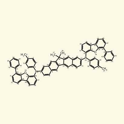 Cc1ccc(N(c2ccc3cc4c(cc3c2)C(C)(C)c2cc3cc(N(c5ccc(C)cc5)c5cccc6c5oc5c(-c7ccccc7)cccc56)ccc3cc2-4)c2cccc3c2oc2c(-c4ccccc4)cccc23)cc1